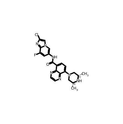 C[C@@H]1CN(c2ccc(C(=O)Nc3cc(F)c4nc(Cl)cn4c3)c3nccnc23)C[C@H](C)N1